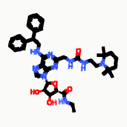 CCNC(=O)[C@H]1O[C@@H](n2cnc3c(NCC(c4ccccc4)c4ccccc4)nc(CNC(=O)NCCN4C(C)(C)CCCC4(C)C)nc32)[C@H](O)[C@@H]1O